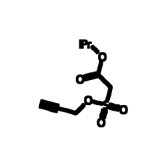 C#CCOS(=O)(=O)CC(=O)OC(C)C